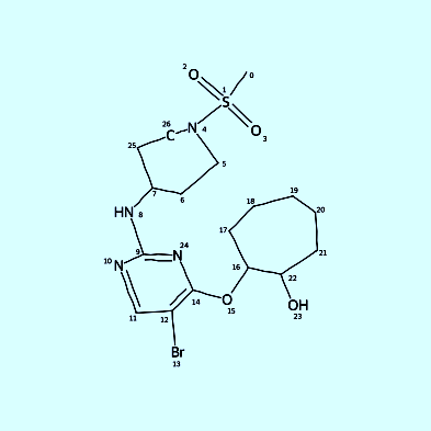 CS(=O)(=O)N1CCC(Nc2ncc(Br)c(OC3CCCCCC3O)n2)CC1